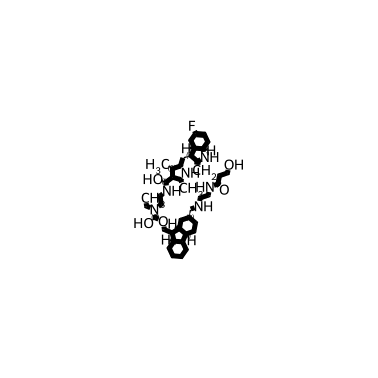 C=C1N[C@H]2CC=C(F)C[C@H]2[C@H]1CC1NC(C)C([C@@H](O)NCCN(CC)[C@@H](O)OCC2[C@H]3CCCCC3[C@H]3CC[C@@H](CNCCNC(=O)CCO)C[C@@H]23)[C@@H]1C